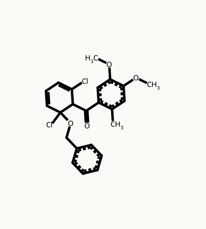 COc1cc(C)c(C(=O)C2C(Cl)=CC=CC2(Cl)OCc2ccccc2)cc1OC